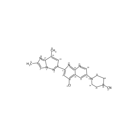 Cc1cn2nc(-c3cc(Cl)c4cc(N5CCB(C#N)CC5)cnc4n3)cc(C)c2n1